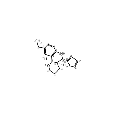 CCc1ccc2c(c1)[C@@H]1OCCC[C@@H]1[C@@H](c1cccs1)N2